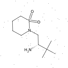 CC(C)(C)[C@H](N)CN1CCCCS1(=O)=O